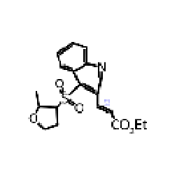 CCOC(=O)/C=C/c1cnc2ccccc2c1S(=O)(=O)C1CCOC1C